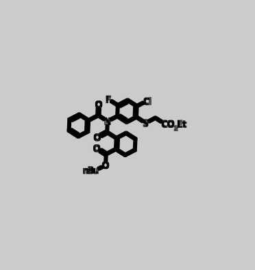 CCCCOC(=O)C1=C(C(=O)N(C(=O)c2ccccc2)c2cc(SCC(=O)OCC)c(Cl)cc2F)CCCC1